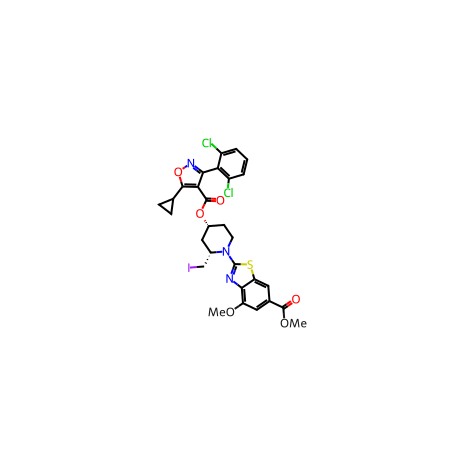 COC(=O)c1cc(OC)c2nc(N3CC[C@@H](OC(=O)c4c(-c5c(Cl)cccc5Cl)noc4C4CC4)C[C@H]3CI)sc2c1